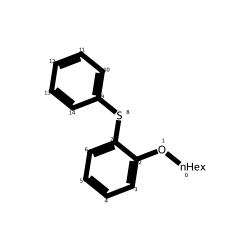 CCCCCCOc1c[c]ccc1Sc1ccccc1